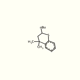 CCCCC1CC(C)(C)c2c[c]ccc2S1